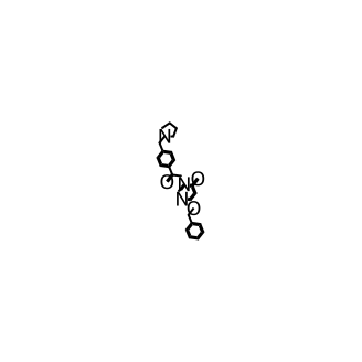 O=C(Cn1cnc(OCc2ccccc2)cc1=O)c1ccc(CN2CCCC2)cc1